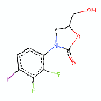 O=C1OC(CO)CN1c1ccc(I)c(F)c1F